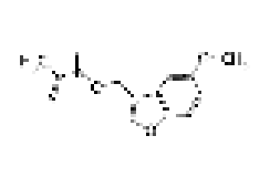 COc1ccc2occ(CONC(C)=S)c2c1